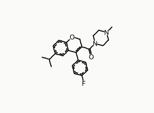 CC(C)c1ccc2c(c1)C(c1ccc(F)cc1)=C(C(=O)N1CCN(C)CC1)CO2